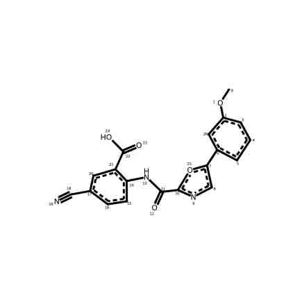 COc1cccc(-c2cnc(C(=O)Nc3ccc(C#N)cc3C(=O)O)o2)c1